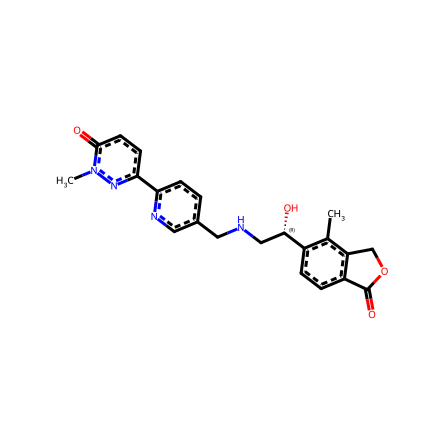 Cc1c([C@@H](O)CNCc2ccc(-c3ccc(=O)n(C)n3)nc2)ccc2c1COC2=O